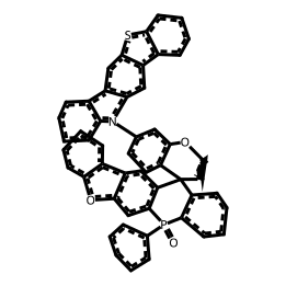 O=P1(c2ccccc2)c2ccccc2C2(c3ccccc3Oc3cc(-n4c5ccccc5c5cc6sc7ccccc7c6cc54)ccc32)c2cc3c(cc21)oc1ccccc13